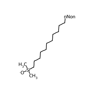 CCCCCCCCCCCCCCCCCCCC[Si](C)(C)[O]